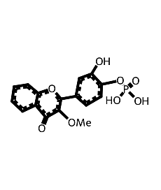 COc1c(-c2ccc(OP(=O)(O)O)c(O)c2)oc2ccccc2c1=O